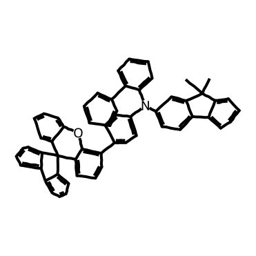 CC1(C)c2ccccc2-c2ccc(N(c3ccc(-c4cccc5c4Oc4ccccc4C54c5ccccc5-c5ccccc54)cc3)c3ccccc3-c3ccccc3)cc21